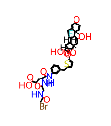 C[C@]12C=CC(=O)C=C1CC[C@H]1[C@@H]3C[C@H]4O[C@@H](c5ccc(Cc6cccc(NC(=O)[C@H](CCC(=O)O)NC(=O)CNC(=O)CBr)c6)s5)O[C@@]4(C(=O)CO)[C@@]3(C)C[C@H](O)[C@@]12F